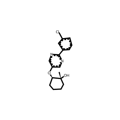 C[C@@]1(O)CCCC[C@H]1Oc1cnc(-c2cccc(Cl)c2)nc1